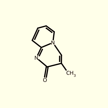 Cc1cn2ccccc2nc1=O